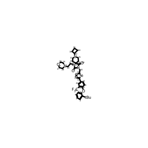 CC(C)(C)c1ccccc1Oc1ccc(-c2noc(CN3C(=O)N(CCN4CCOCC4)C4(CCN(C5CCC5)CC4)C3=O)n2)cc1C(F)(F)F